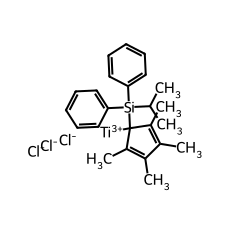 CC1=C(C)[C]([Ti+3])([Si](c2ccccc2)(c2ccccc2)C(C)C)C(C)=C1C.[Cl-].[Cl-].[Cl-]